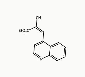 CCOC(=O)/C(C#N)=C\c1ccnc2ccccc12